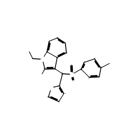 CCn1c(C)c(C(c2cccs2)S(=O)(=O)c2ccc(C)cc2)c2ccccc21